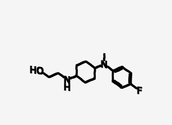 CN(c1ccc(F)cc1)C1CCC(NCCO)CC1